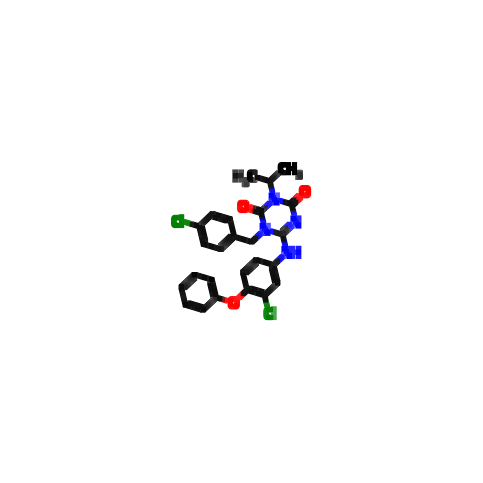 CC(C)n1c(=O)nc(Nc2ccc(Oc3ccccc3)c(Cl)c2)n(Cc2ccc(Cl)cc2)c1=O